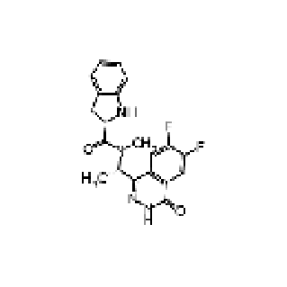 C[C@@H](c1n[nH]c(=O)c2cc(F)c(F)cc12)N(C)C(=O)[C@H]1Cc2ccccc2N1